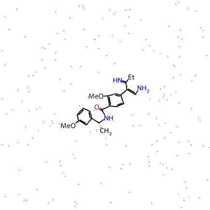 CCC(=N)/C(=C\N)c1ccc(C(=O)N[C@H](C)c2cccc(OC)c2)c(OC)c1